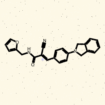 N#C/C(=C\c1ccc(N2Cc3ccccc3C2)cc1)C(=O)NCc1ccco1